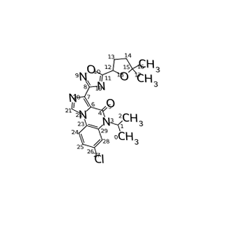 CC(C)n1c(=O)c2c(-c3noc(C4CCC(C)(C)O4)n3)ncn2c2ccc(Cl)cc21